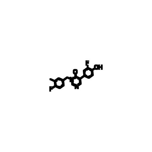 Cc1cc(Cn2cncc(-c3ccc(O)c(F)c3)c2=O)ccc1F